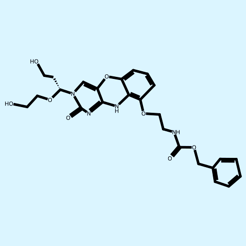 O=C(NCCOc1cccc2c1Nc1nc(=O)n([C@@H](CCO)OCCO)cc1O2)OCc1ccccc1